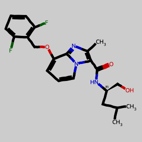 Cc1nc2c(OCc3c(F)cccc3F)cccn2c1C(=O)N[C@@H](CO)CC(C)C